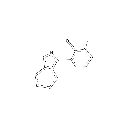 Cn1cccc(-n2ncc3ccccc32)c1=O